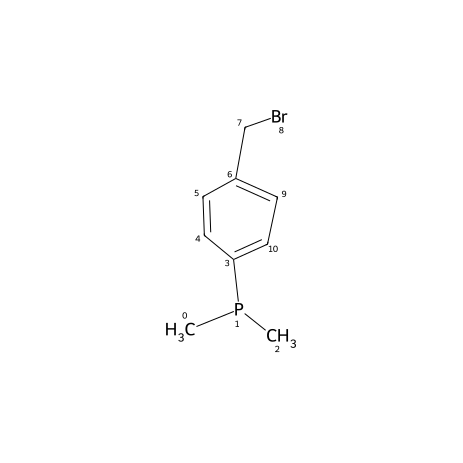 CP(C)c1ccc(CBr)cc1